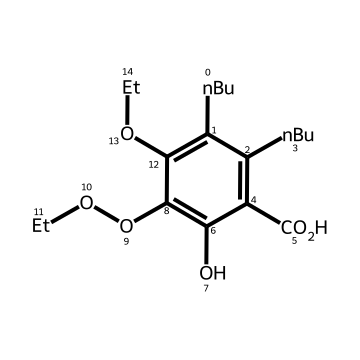 CCCCc1c(CCCC)c(C(=O)O)c(O)c(OOCC)c1OCC